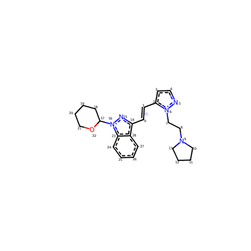 C(=C\c1ccnn1CCN1CCCC1)/c1nn(C2CCCCO2)c2ccccc12